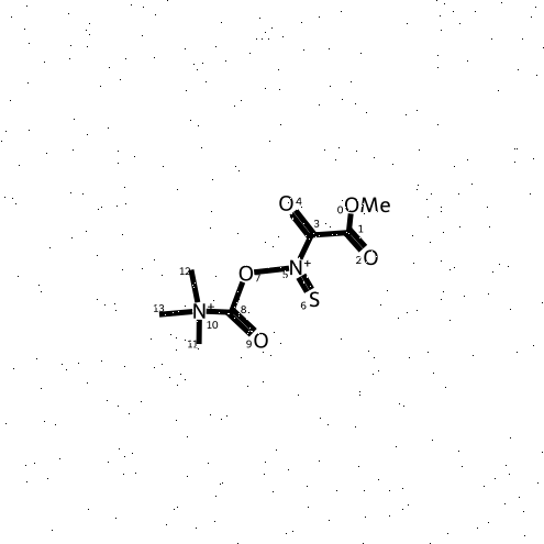 COC(=O)C(=O)[N+](=S)OC(=O)[N+](C)(C)C